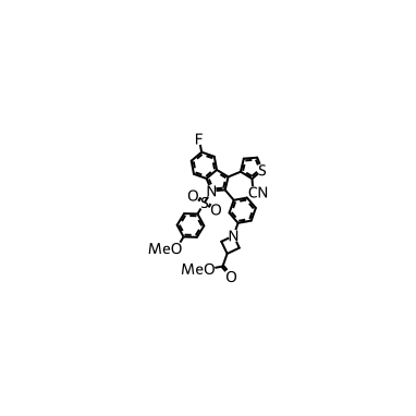 COC(=O)C1CN(c2cccc(-c3c(-c4ccsc4C#N)c4cc(F)ccc4n3S(=O)(=O)c3ccc(OC)cc3)c2)C1